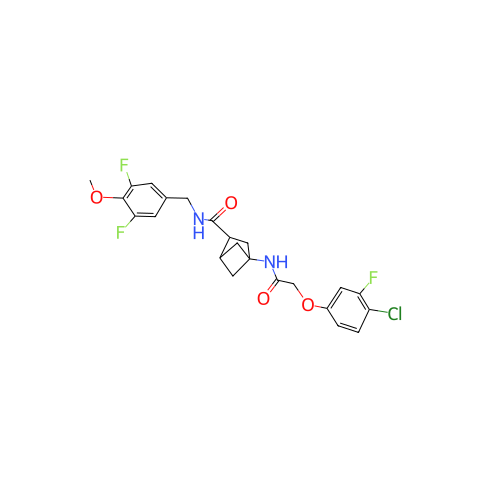 COc1c(F)cc(CNC(=O)C2CC3(NC(=O)COc4ccc(Cl)c(F)c4)CC2C3)cc1F